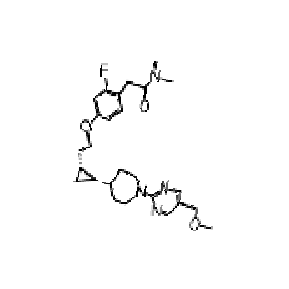 COCc1cnc(N2CCC([C@H]3C[C@@H]3CCOc3ccc(CC(=O)N(C)C)c(F)c3)CC2)nc1